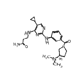 CN(C)[C@@H]1CCN(C(=O)c2cccc(Nc3ncc(C4CC4)c(NCCC(N)=O)n3)c2)C1